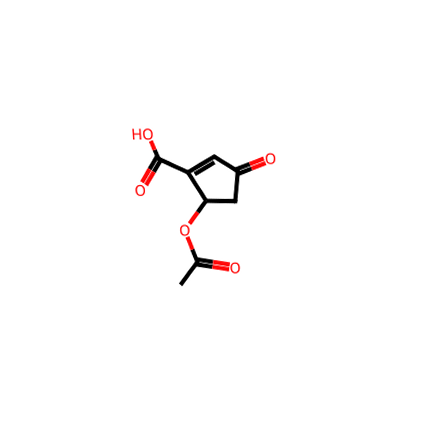 CC(=O)OC1CC(=O)C=C1C(=O)O